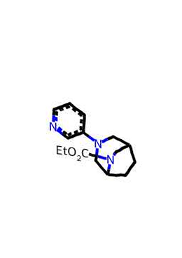 CCOC(=O)N1CC2CCC1CN(c1cccnc1)C2